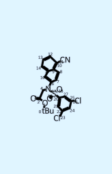 CC(C)(C)OC(=O)CN(c1ccc2c(C#N)cccc2c1)S(=O)(=O)c1cc(Cl)cc(Cl)c1